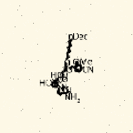 CCCCCCCCCCCCCCCCCCOC[C@H](COP(=O)(O)OC[C@@]1(C)O[C@@H](c2ccc3c(N)ncnn23)C[C@@H]1O)OCc1ccc(C#N)cc1OC